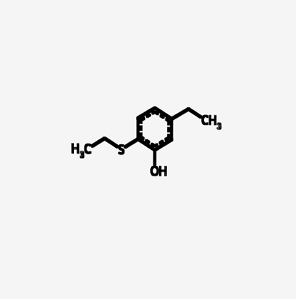 CCSc1ccc(CC)cc1O